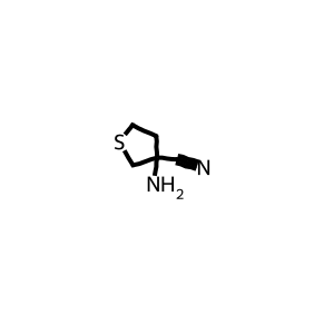 N#CC1(N)CCSC1